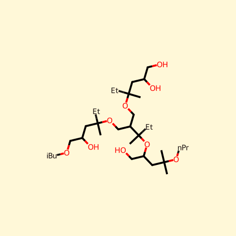 CCCOC(C)(C)CC(CO)OC(C)(CC)C(COC(C)(CC)CC(O)CO)COC(C)(CC)CC(O)COC(C)CC